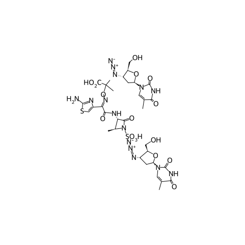 C[C@H]1[C@H](NC(=O)/C(=N/OC(C)(C)C(=O)O)c2csc(N)n2)C(=O)N1S(=O)(=O)O.Cc1cn([C@H]2C[C@H](N=[N+]=[N-])[C@@H](CO)O2)c(=O)[nH]c1=O.Cc1cn([C@H]2C[C@H](N=[N+]=[N-])[C@@H](CO)O2)c(=O)[nH]c1=O